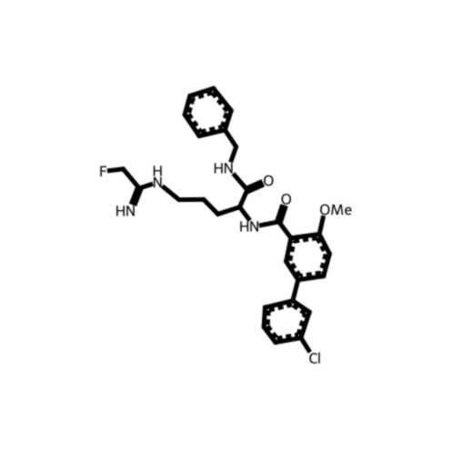 COc1ccc(-c2cccc(Cl)c2)cc1C(=O)NC(CCCNC(=N)CF)C(=O)NCc1ccccc1